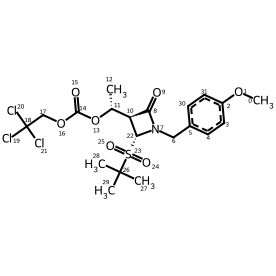 COc1ccc(CN2C(=O)[C@H]([C@@H](C)OC(=O)OCC(Cl)(Cl)Cl)[C@H]2S(=O)(=O)C(C)(C)C)cc1